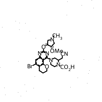 CO[C@H]1CN(C)C[C@@H]1Oc1nc(N2CCN(C(=O)O)C(CC#N)C2)c2c3c(c(Br)cc2n1)CCCO3